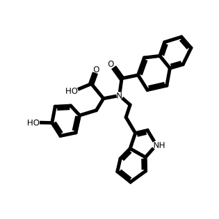 O=C(O)C(Cc1ccc(O)cc1)N(CCc1c[nH]c2ccccc12)C(=O)c1ccc2ccccc2c1